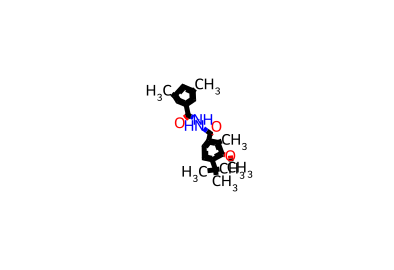 COc1c(C(C)(C)C)ccc(C(=O)NNC(=O)c2cc(C)cc(C)c2)c1C